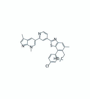 Cc1cnc2n(C)cc(-c3cc(-c4nc5cc(C)c(CC(=O)O)c(-c6ccc(Cl)cc6)c5s4)ccn3)cc1-2